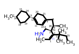 C/C=C(\[C@@H](CN)[C@H](C)CC1=CC=C([C@H]2CC[C@@H](C)CC2)CC1)C(C)(C)CC